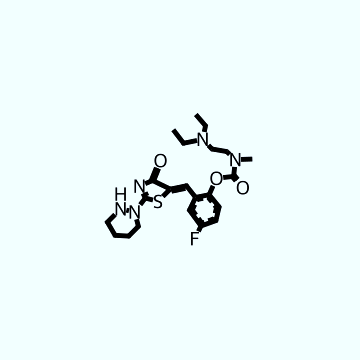 CCN(CC)CCN(C)C(=O)Oc1ccc(F)cc1/C=C1\SC(N2CCCCN2)=NC1=O